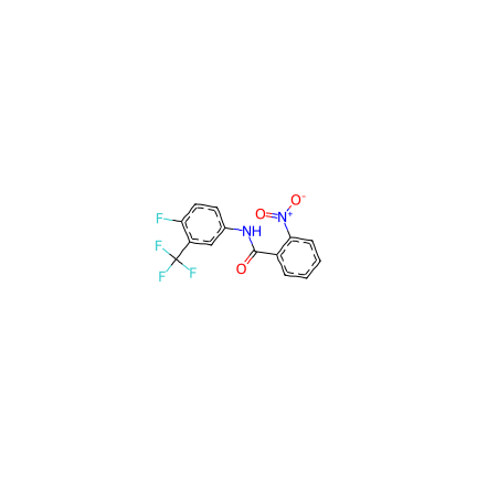 O=C(Nc1ccc(F)c(C(F)(F)F)c1)c1ccccc1[N+](=O)[O-]